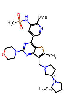 COc1ncc(-c2nc(N3CCOCC3)nc3c(CN4CC[C@@H](N5CCC[C@@H]5C)C4)c(C)sc23)cc1NS(C)(=O)=O